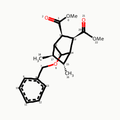 COC(=O)[C@@H]1C2C(OCc3ccccc3)C([C@H](C)[C@H]2C)[C@@H]1C(=O)OC